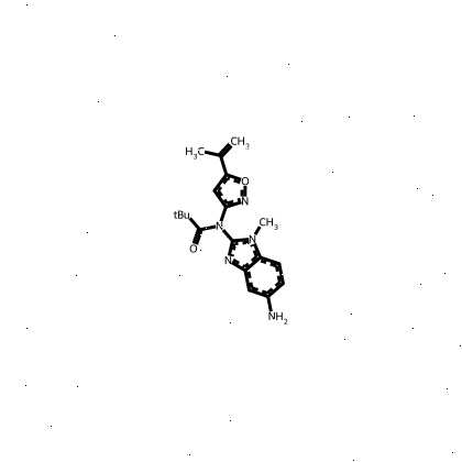 C=C(C)c1cc(N(C(=O)C(C)(C)C)c2nc3cc(N)ccc3n2C)no1